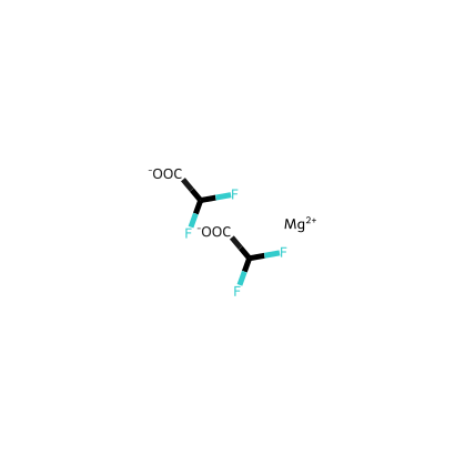 O=C([O-])C(F)F.O=C([O-])C(F)F.[Mg+2]